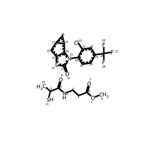 COC(=O)CCNC(=O)C(C)S.O=c1sc2cc3cc-3c2n1-c1ccc(C(F)(F)F)cc1Cl